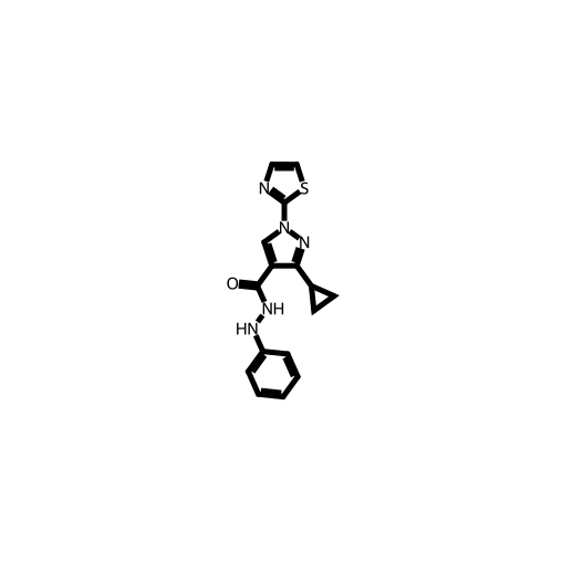 O=C(NNc1ccccc1)c1cn(-c2nccs2)nc1C1CC1